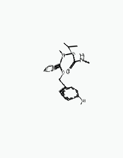 CNC(=O)[C@H](C(C)C)N(C)C(=O)OCc1ccc(NC)cc1